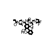 C=CC(=O)N1CCN(c2nc(=O)n3c4c(c(-c5c(O)cccc5F)c(Cl)cc24)OC[C@@H]3CN2CCC(F)(F)C2)[C@@H](C)C1